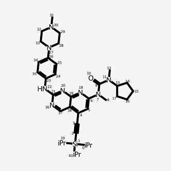 CC(C)[Si](C#Cc1cc(N(C)C(=O)N(C)C2CCCC2)nc2nc(Nc3ccc(N4CCN(C)CC4)cc3)ncc12)(C(C)C)C(C)C